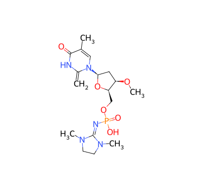 C=C1NC(=O)C(C)=CN1[C@H]1C[C@@H](OC)[C@@H](COP(=O)(O)N=C2N(C)CCN2C)O1